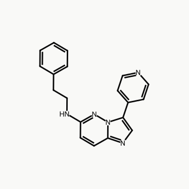 c1ccc(CCNc2ccc3ncc(-c4ccncc4)n3n2)cc1